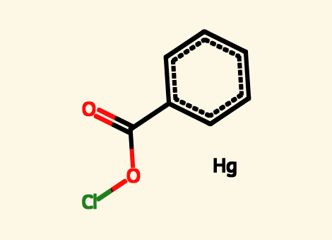 O=C(OCl)c1ccccc1.[Hg]